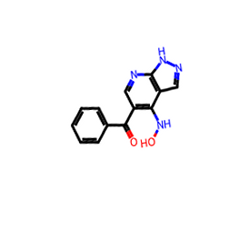 O=C(c1ccccc1)c1cnc2[nH]ncc2c1NO